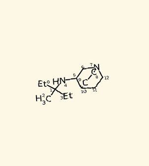 CCC(C)(CC)NC1CN2CCC1CC2